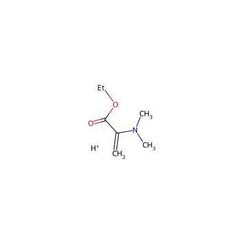 C=C(C(=O)OCC)N(C)C.[H+]